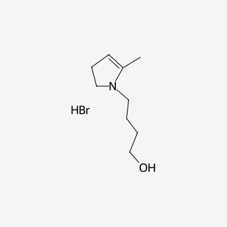 Br.CC1=CCCN1CCCCO